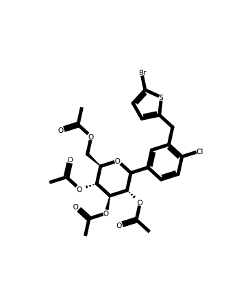 CC(=O)OC[C@H]1OC(c2ccc(Cl)c(Cc3ccc(Br)s3)c2)[C@H](OC(C)=O)[C@@H](OC(C)=O)[C@@H]1OC(C)=O